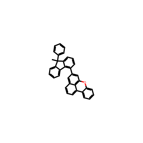 CC1(c2ccccc2)c2ccccc2-c2c(-c3cc4c5c(cccc5c3)-c3ccccc3O4)cccc21